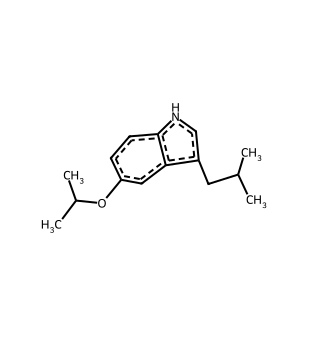 CC(C)Cc1c[nH]c2ccc(OC(C)C)cc12